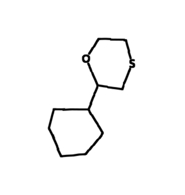 C1CCC(C2CSCCO2)CC1